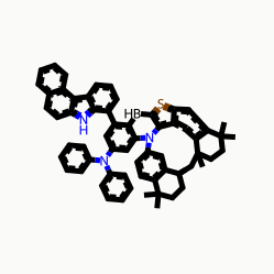 CC1(C)CCC2(C)CC3(C)CCC(C)(C)c4cc5sc6c(c5cc43)N(c3ccc1c2c3)c1cc(N(c2ccccc2)c2ccccc2)cc(-c2cccc3c2[nH]c2ccc4ccccc4c23)c1B6